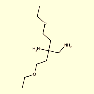 CCOCCC(N)(CN)CCOCC